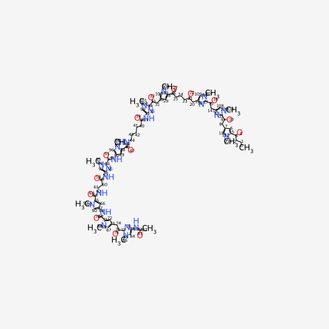 CCCC(=O)c1cc(CC(=O)c2nc(CC(=O)c3nc(CC(=O)CCCC(=O)c4cc(CC(=O)c5nc(NC(=O)CCCCCNC(=O)c6cc(NC(=O)c7nc(NC(=O)CCNC(=O)c8cc(NC(=O)c9cc(CC(=O)c%10nc(NC(C)=O)cn%10C)cn9C)cn8C)cn7C)cn6C)cn5C)cn4C)cn3C)cn2C)cn1C